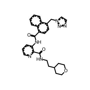 O=C(NCCC1CCOCC1)c1ncccc1NC(=O)c1ccc(Cn2ccnn2)c2ccccc12